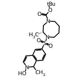 CC1c2ccc(S(=O)(=O)N3CCCCN(C(=O)OC(C)(C)C)C[C@H]3C)cc2C=CN1O